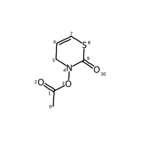 CC(=O)ON1CC=CSC1=O